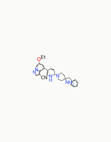 CCOc1cc(C2=CNC(N3CCC(N)(Cc4ccccc4)CC3)C=C2)c2c(C#N)cnn2c1